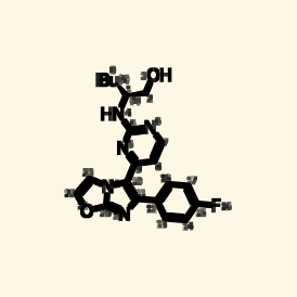 CC[C@H](C)[C@@H](CO)Nc1nccc(-c2c(-c3ccc(F)cc3)nc3occn23)n1